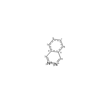 C1=[N+]=[N+]=Cc2ccccc21